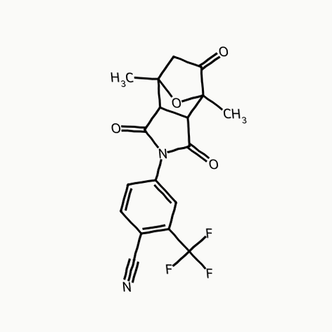 CC12CC(=O)C(C)(O1)C1C(=O)N(c3ccc(C#N)c(C(F)(F)F)c3)C(=O)C12